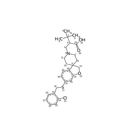 CC(C)(C)C(CN1CCC2(CC1)COc1cc(SCc3ccccc3Cl)ccc12)C(=O)O